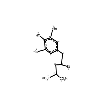 CCC(Cc1cc(C(C)(C)C)c(O)c(C(C)(C)C)c1)CC(C(=O)O)C(=O)O